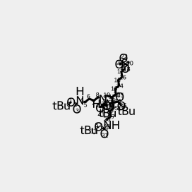 CC(C)(C)OC(=O)NCCCCN(CC(CCCCCCOS(C)(=O)=O)C(N)(CCCCNC(=O)OC(C)(C)C)C(=O)OC(C)(C)C)C(=O)OC(C)(C)C